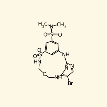 CN(C)S(=O)(=O)c1cc2cc(c1)S(=O)(=O)NCCCNc1nc(ncc1Br)N2